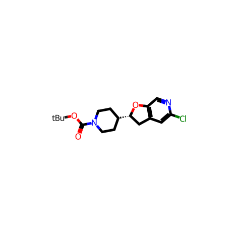 CC(C)(C)OC(=O)N1CCC([C@H]2Cc3cc(Cl)ncc3O2)CC1